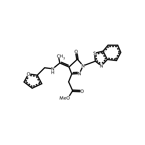 COC(=O)CC1=NN(c2nc3ccccc3s2)C(=O)/C1=C(\C)NCc1ccco1